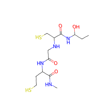 CCC(O)NC(=O)C(CS)NCC(=O)NC(CCS)C(=O)NC